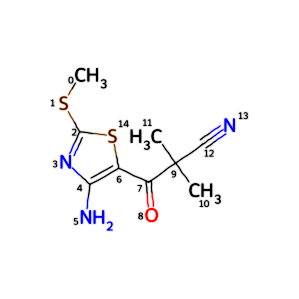 CSc1nc(N)c(C(=O)C(C)(C)C#N)s1